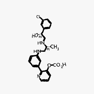 C[C@H](CNc1cccc(-c2ncccc2OC(=O)O)c1)NC[C@H](O)c1cccc(Cl)c1